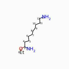 CCOC(N)CCCCCCCCCN